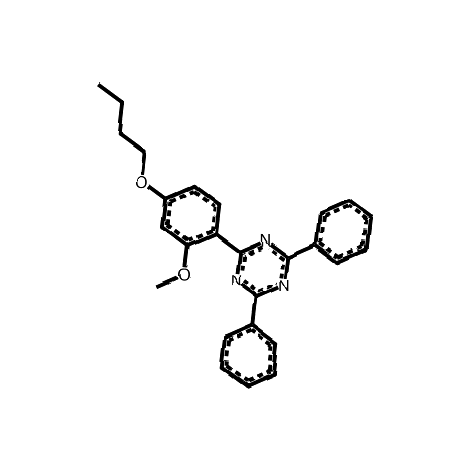 CCCCOc1ccc(-c2nc(-c3ccccc3)nc(-c3ccccc3)n2)c(OC)c1